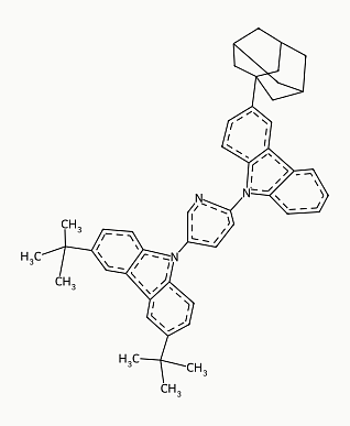 CC(C)(C)c1ccc2c(c1)c1cc(C(C)(C)C)ccc1n2-c1ccc(-n2c3ccccc3c3cc(C45CC6CC(CC(C6)C4)C5)ccc32)nc1